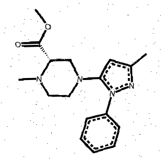 COC(=O)[C@@H]1CN(c2cc(C)nn2-c2ccccc2)CCN1C